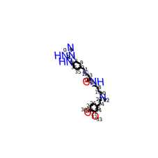 CNC(=NC#N)Nc1ccc(/C=C/CC(=O)NCCCCN(C)CCc2ccc(OC)c(OC)c2)cc1